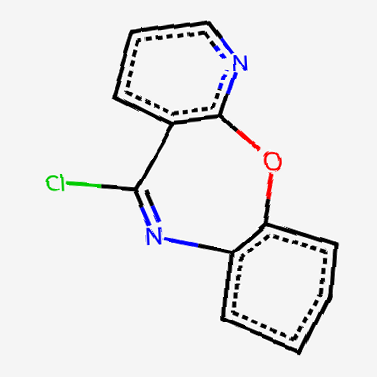 ClC1=Nc2ccccc2Oc2ncccc21